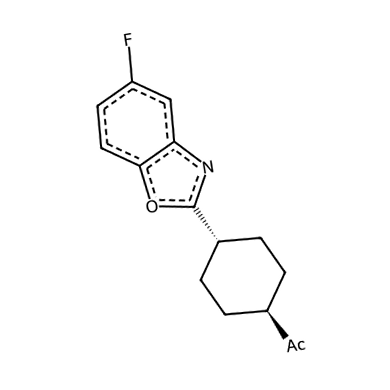 CC(=O)[C@H]1CC[C@H](c2nc3cc(F)ccc3o2)CC1